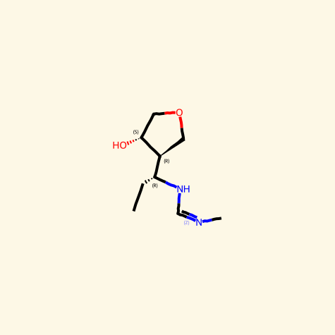 CC[C@@H](N/C=N\C)[C@@H]1COC[C@H]1O